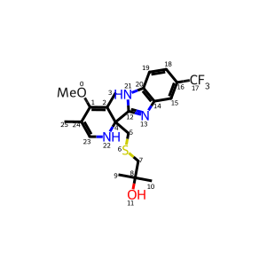 COC1=C(C)C(CSCC(C)(C)O)(c2nc3cc(C(F)(F)F)ccc3[nH]2)NC=C1C